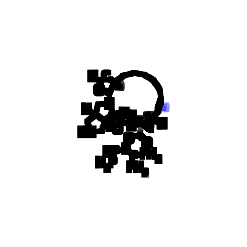 C[C@H]1CCCCC/C=C\[C@@H]2C[C@@]2(C(=O)OP(PP)P(P)P)NC(=O)[C@@H]2[C@H]3CNC[C@H]3CN2C1=O